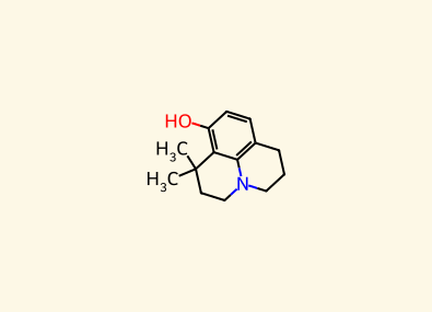 CC1(C)CCN2CCCc3ccc(O)c1c32